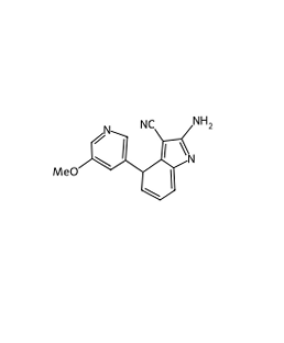 COc1cncc(C2C=CC=C3N=C(N)C(C#N)=C32)c1